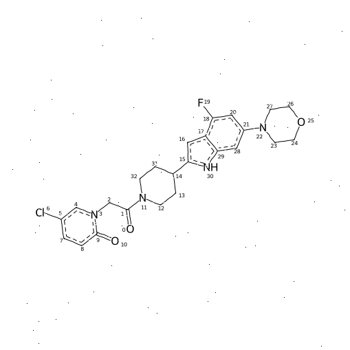 O=C(Cn1cc(Cl)ccc1=O)N1CCC(c2cc3c(F)cc(N4CCOCC4)cc3[nH]2)CC1